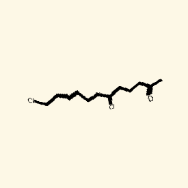 CC(=O)CCCC(Cl)CCCCCCCl